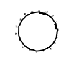 C1=CCCCCCCCCCCCCCC=CC1